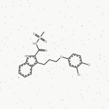 CCc1cc(OCCCc2c(C(=O)NS(C)(=O)=O)[nH]c3ccccc23)ccc1Cl